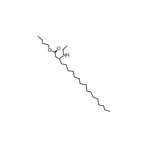 CCCCCCCCCCCCCCCCC(CC(=O)OCCCC)NCC